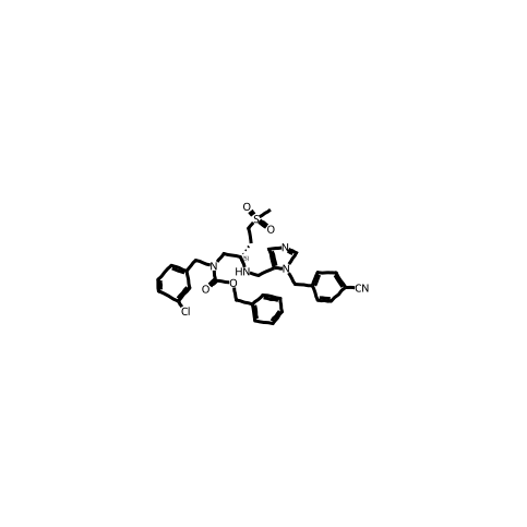 CS(=O)(=O)CC[C@@H](CN(Cc1cccc(Cl)c1)C(=O)OCc1ccccc1)NCc1cncn1Cc1ccc(C#N)cc1